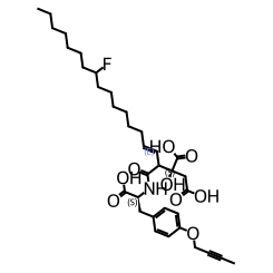 CC#CCOc1ccc(C[C@H](NC(=O)C(/C=C/CCCCCCC(F)CCCCCCC)[C@@](O)(CC(=O)O)C(=O)O)C(=O)O)cc1